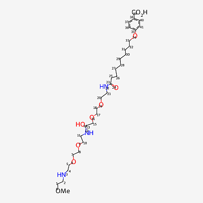 COCCNCCOCCOCCNC(O)COCCOCCNC(=O)CCCCCCCCCOc1ccc(C(=O)O)cc1